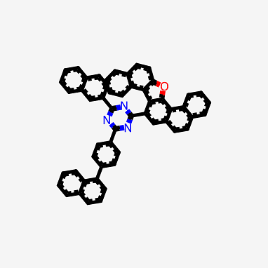 c1ccc2cc(-c3nc(-c4ccc(-c5cccc6ccccc56)cc4)nc(-c4cc5ccc6ccccc6c5c5oc6ccc7ccccc7c6c45)n3)ccc2c1